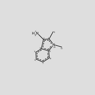 Cc1c(N)c2ccccc2n1C